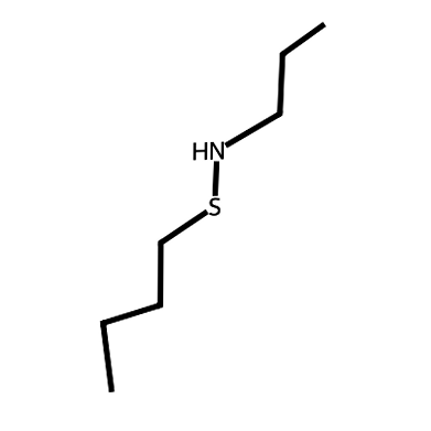 CCCCSNCCC